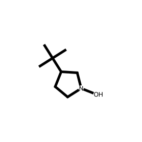 CC(C)(C)C1CCN(O)C1